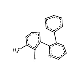 Cc1cccc(-c2ncccc2-c2ccccc2)c1F